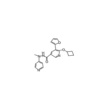 CN(NC(=O)c1cnc(OC2CCC2)c(-c2ccco2)c1)c1ccncc1